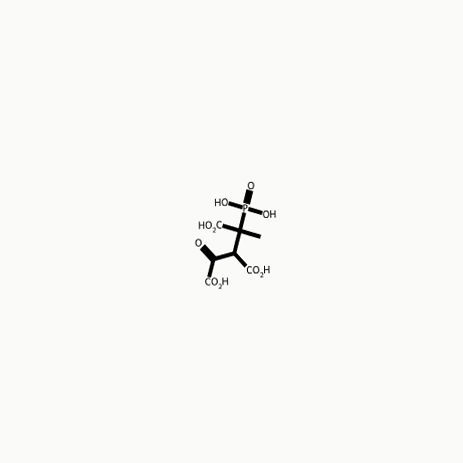 CC(C(=O)O)(C(C(=O)O)C(=O)C(=O)O)P(=O)(O)O